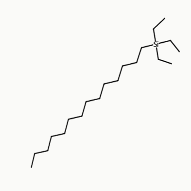 CCCCCCCCCCCCCC[Si](CC)(CC)CC